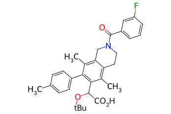 Cc1ccc(-c2c(C)c3c(c(C)c2C(OC(C)(C)C)C(=O)O)CCN(C(=O)c2cccc(F)c2)C3)cc1